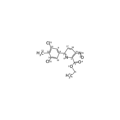 CCOC(=O)c1nc(-c2cc(Cl)c(C)c(Cl)c2)ccc1N=O